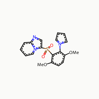 COc1ccc(OC)c(S(=O)(=O)c2cnc3ccccn23)c1-n1cccc1